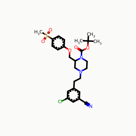 CC(C)(C)OC(=O)N1CCN(CCc2cc(Cl)cc(C#N)c2)CC1COc1ccc(S(C)(=O)=O)cc1